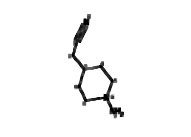 N#CCC1CCN(N)CC1